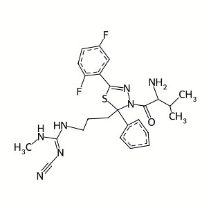 CNC(=NC#N)NCCCC1(c2ccccc2)SC(c2cc(F)ccc2F)=NN1C(=O)C(N)C(C)C